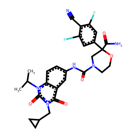 CC(C)n1c(=O)n(CC2CC2)c(=O)c2cc(NC(=O)N3CCOC(C(N)=O)(c4cc(F)c(C#N)c(F)c4)C3)ccc21